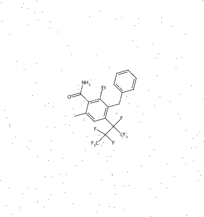 CCc1c(Cc2ccccc2)c(C(F)(C(F)(F)F)C(F)(F)C(F)(F)F)cc(C)c1C(N)=O